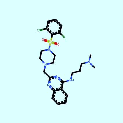 CN(C)CCCNc1nc(CN2CCN(S(=O)(=O)c3c(Cl)cccc3Cl)CC2)nc2ccccc12